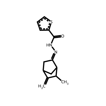 C=C1C2C/C(=N\NC(=O)c3cccs3)C(C2)C1C